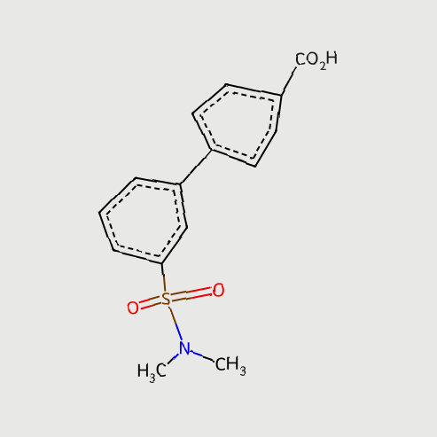 CN(C)S(=O)(=O)c1cccc(-c2ccc(C(=O)O)cc2)c1